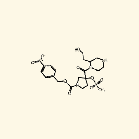 CS(=O)(=O)OC1(C(=O)N2CCNCC2CCO)CCN(C(=O)OCc2ccc([N+](=O)[O-])cc2)C1